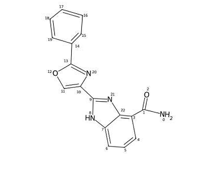 NC(=O)c1cccc2[nH]c(-c3coc(-c4ccccc4)n3)nc12